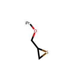 CC(C)OCC1CS1